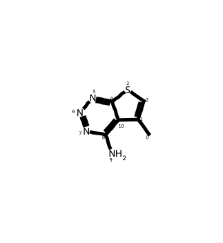 Cc1csc2nnnc(N)c12